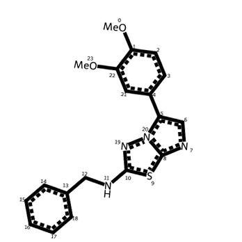 COc1ccc(-c2cnc3sc(NCc4ccccc4)nn23)cc1OC